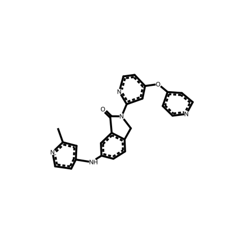 Cc1cc(Nc2ccc3c(c2)C(=O)N(c2cc(Oc4ccncc4)ccn2)C3)ccn1